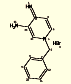 Br.N=c1ccn(Cc2ccccc2)cc1N